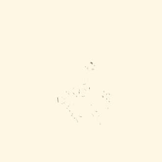 CCOC(=O)CN1[C@H](C)CN(CC(F)(F)COc2cccc(-c3ccc(N4CCc5cccc(C(=O)Nc6nc7ccccc7s6)c5C4)nc3C(=O)OC(C)(C)C)c2C)C[C@@H]1C.CCOC(=O)CN1[C@H](C)CN(CC(F)(F)COc2cccc(Br)c2C)C[C@@H]1C